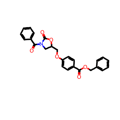 O=C(OCc1ccccc1)c1ccc(OCC2CN(C(=O)c3ccccc3)C(=O)O2)cc1